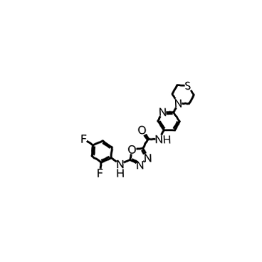 O=C(Nc1ccc(N2CCSCC2)nc1)c1nnc(Nc2ccc(F)cc2F)o1